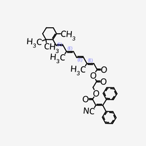 CC1=C(/C=C/C(C)=C/C=C/C(C)=C/C(=O)OC(=O)COC(=O)C(C#N)=C(c2ccccc2)c2ccccc2)C(C)(C)CCC1